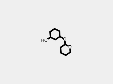 OC1CCCC(OC2CCCCO2)C1